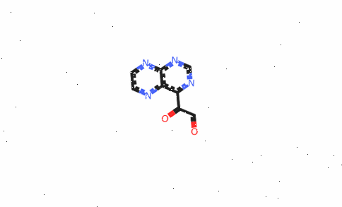 O=CC(=O)c1ncnc2nccnc12